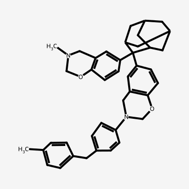 Cc1ccc(Cc2ccc(N3COc4ccc(C5(c6ccc7c(c6)CN(C)CO7)C6CC7CC(C6)CC5C7)cc4C3)cc2)cc1